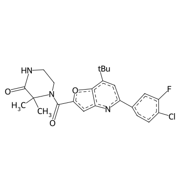 CC(C)(C)c1cc(-c2ccc(Cl)c(F)c2)nc2cc(C(=O)N3CCNC(=O)C3(C)C)oc12